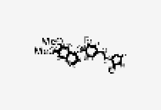 COc1cc2nccc(OC3CC=C(CC[C@H]4CCCC4=O)C=C3F)c2cc1OC